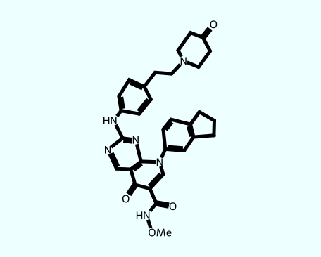 CONC(=O)c1cn(-c2ccc3c(c2)CCC3)c2nc(Nc3ccc(CCN4CCC(=O)CC4)cc3)ncc2c1=O